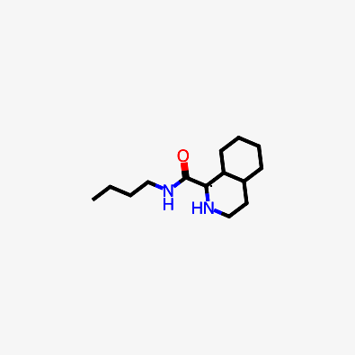 CCCCNC(=O)[C]1NCCC2CCCCC12